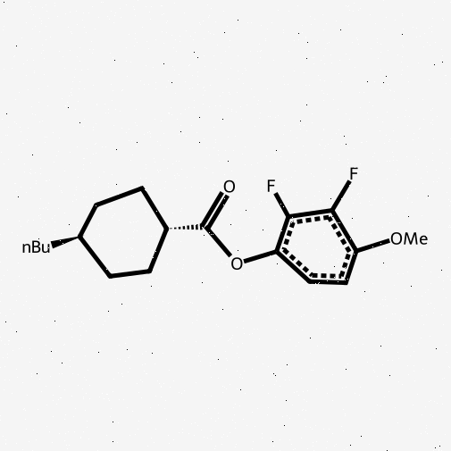 CCCC[C@H]1CC[C@H](C(=O)Oc2ccc(OC)c(F)c2F)CC1